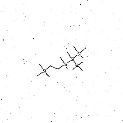 C[Si](C)(C)CC[Si](C)(C)[Si](C)([Si](C)(C)C)[Si](C)(C)C